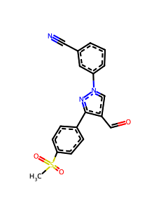 CS(=O)(=O)c1ccc(-c2nn(-c3cccc(C#N)c3)cc2C=O)cc1